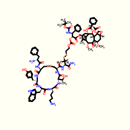 CO[C@H]1C(=O)[C@]2(C)[C@@H](OC)C[C@H]3OC[C@@]3(OC(C)=O)[C@H]2[C@H](OC(=O)c2ccccc2)[C@]2(O)CC(OC(=O)[C@H](OC(=O)OCCSSC(C)(C)[C@H](NC(=O)[C@@H]3CSSC[C@H](NC(=O)[C@H](N)Cc4ccccc4)C(=O)N[C@@H](Cc4ccc(O)cc4)C(=O)N[C@H](Cc4c[nH]c5ccccc45)C(=O)N[C@@H](CCCCN)C(=O)N[C@@H]([C@@H](C)O)C(=O)N3)C(N)=O)[C@@H](NC(=O)OC(C)(C)C)c3ccccc3)C(C)=C1C2(C)C